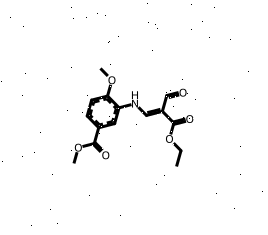 CCOC(=O)/C(C=O)=C/Nc1cc(C(=O)OC)ccc1OC